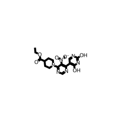 CCOC(=O)C1CCN(c2ncnc(-c3cnc(O)nc3O)c2[N+](=O)[O-])CC1